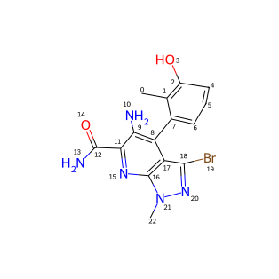 Cc1c(O)cccc1-c1c(N)c(C(N)=O)nc2c1c(Br)nn2C